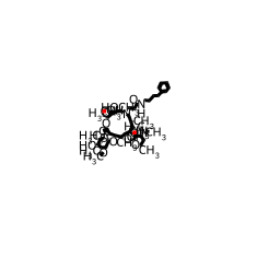 CC[C@H]1OC(=O)[C@H](C)[C@@H](O[C@H]2C[C@@](C)(OC)[C@@H](O)[C@H](C)O2)[C@H](C)[C@@H](O[C@@H]2O[C@H](C)C[C@H](N(C)C)[C@H]2O)[C@](C)(O)C[C@@H](C)CN(CCC(=O)NCCCCc2ccccc2)[C@H](C)[C@@H](O)[C@]1(C)O